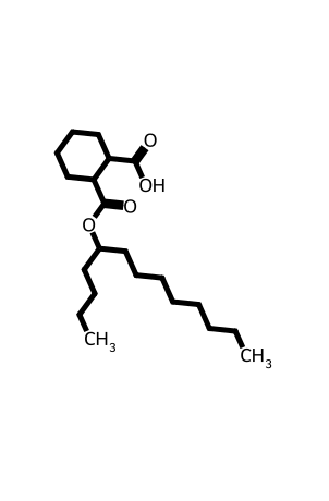 CCCCCCCCC(CCCC)OC(=O)C1CCCCC1C(=O)O